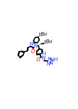 CC(C)(C)CC[C@H](c1ccc(C(=O)NCc2nn[nH]n2)cc1)N1C(=O)C(/C=C/c2ccccc2)=NC12CCC(C(C)(C)C)CC2